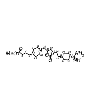 COC(=O)CCCN1CCN(CC2CN(CCN3CCN(C(=N)N)CC3)C(=O)O2)CC1